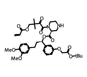 C=CC(=O)OCC(C)(C)C(=O)C(=O)N1CCNC[C@H]1C(=O)O[C@H](CCc1ccc(OC)c(OC)c1)c1cccc(OCC(=O)OC(C)(C)C)c1